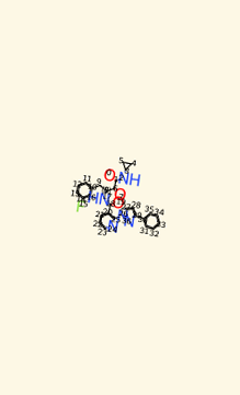 O=C(NC1CC1)C(=O)[C@H](Cc1cccc(F)c1)NC(=O)c1cccnc1-n1ccc(-c2ccccc2)n1